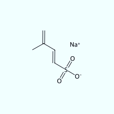 C=C(C)C=CS(=O)(=O)[O-].[Na+]